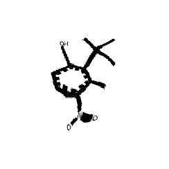 Cc1c([N+](=O)[O-])ccc(O)c1C(C)(C)C